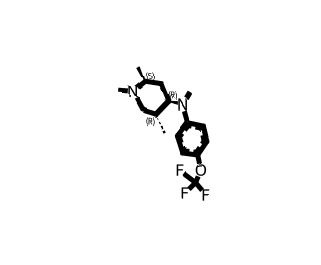 C[C@@H]1CN(C)[C@@H](C)C[C@H]1N(C)c1ccc(OC(F)(F)F)cc1